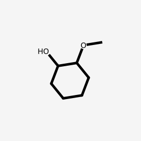 COC1CCCC[C]1O